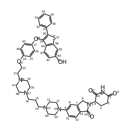 O=C1CCC(N2Cc3cc(N4CCN(CCCN5CCN(CCOc6ccc(Oc7c(-c8cc[c]cc8)sc8cc(O)ccc78)cc6)CC5)CC4)ccc3C2=O)C(=O)N1